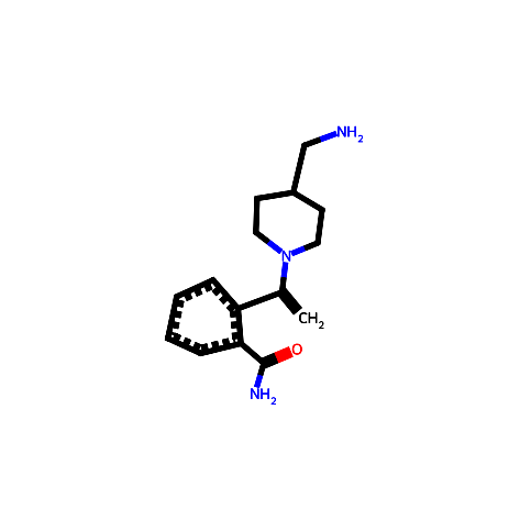 C=C(c1ccccc1C(N)=O)N1CCC(CN)CC1